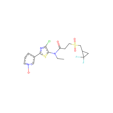 CCN(C(=O)CCS(=O)(=O)CC1CC1(F)F)c1sc(-c2ccc[n+]([O-])c2)nc1Cl